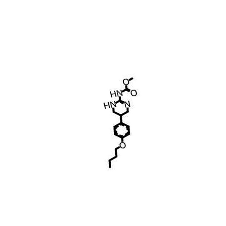 CCCCOc1ccc(C2CN=C(NC(=O)OC)NC2)cc1